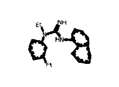 CCc1cccc(N(CC)C(=N)Nc2cccc3ccccc23)c1